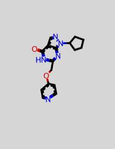 O=c1[nH]c(COc2ccncc2)nc2c1cnn2C1CCCC1